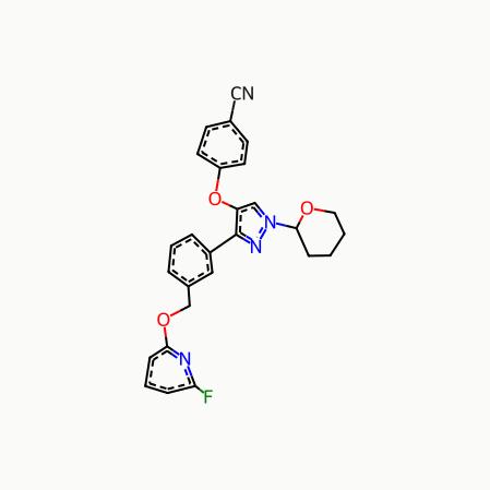 N#Cc1ccc(Oc2cn(C3CCCCO3)nc2-c2cccc(COc3cccc(F)n3)c2)cc1